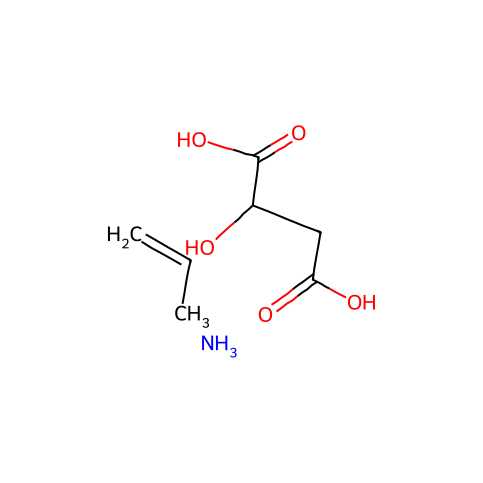 C=CC.N.O=C(O)CC(O)C(=O)O